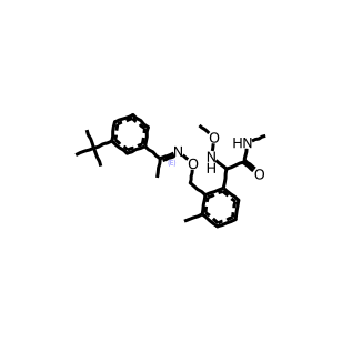 CNC(=O)C(NOC)c1cccc(C)c1CO/N=C(\C)c1cccc(C(C)(C)C)c1